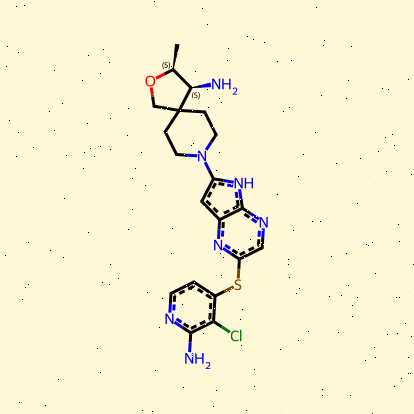 C[C@@H]1OCC2(CCN(c3cc4nc(Sc5ccnc(N)c5Cl)cnc4[nH]3)CC2)[C@@H]1N